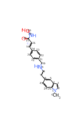 Cn1ccc2cc(CCNCc3ccc(/C=C/C(=O)NO)cc3)ccc21